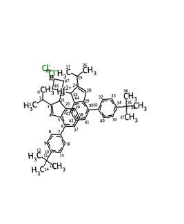 CC(C)C1=Cc2c(-c3ccc(C(C)(C)C)cc3)cccc2[CH]1[Hf+2]1([CH]2C(C(C)C)=Cc3c(-c4ccc(C(C)(C)C)cc4)cccc32)[CH2]C[CH2]1.[Cl-].[Cl-]